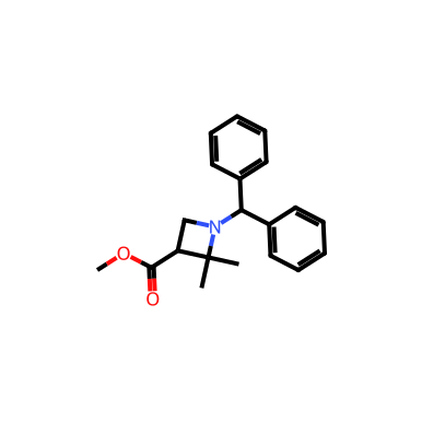 COC(=O)C1CN(C(c2ccccc2)c2ccccc2)C1(C)C